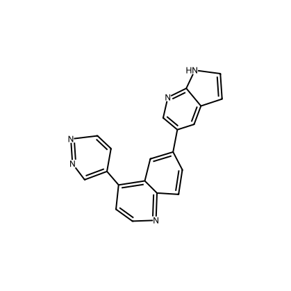 c1cc(-c2ccnc3ccc(-c4cnc5[nH]ccc5c4)cc23)cnn1